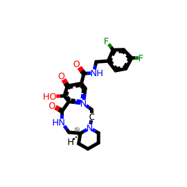 O=C(NCc1ccc(F)cc1F)c1cn2c(c(O)c1=O)C(=O)NC[C@@H]1CCCCN1CC2